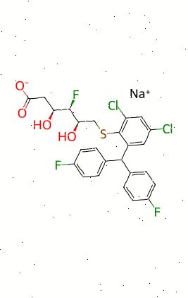 O=C([O-])C[C@H](O)[C@@H](F)[C@H](O)CSc1c(Cl)cc(Cl)cc1C(c1ccc(F)cc1)c1ccc(F)cc1.[Na+]